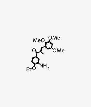 CCOc1ccc(C(=O)/C(C)=C/c2cc(OC)cc(OC)c2OC)cc1N